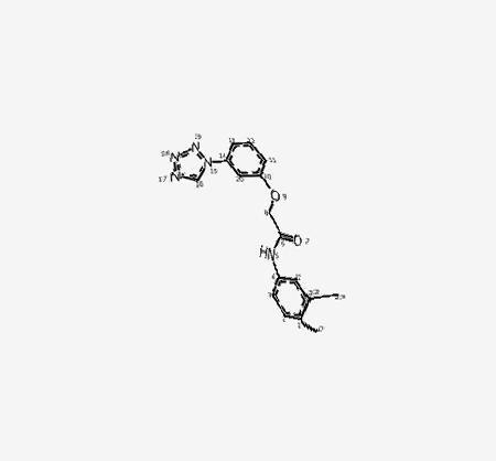 Cc1ccc(NC(=O)COc2cccc(-n3cnnn3)c2)cc1C